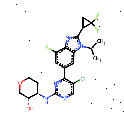 CC(C)n1c(C2CC2(F)F)nc2c(F)cc(-c3nc(N[C@@H]4CCOC[C@H]4O)ncc3Cl)cc21